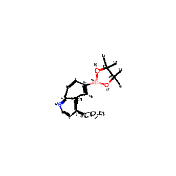 CCOC(=O)c1ccnc2ccc(B3OC(C)(C)C(C)(C)O3)cc12